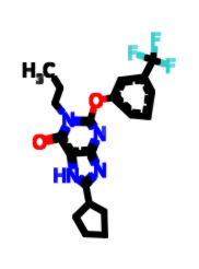 CCCn1c(Oc2cccc(C(F)(F)F)c2)nc2nc(C3CCCC3)[nH]c2c1=O